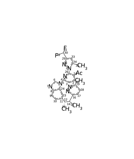 CC(=O)c1ccc(-n2cnc3ccc([C@@H](C)C(C)c4ccc(C)nn4)cc32)nc1-n1nc(C(F)F)cc1C